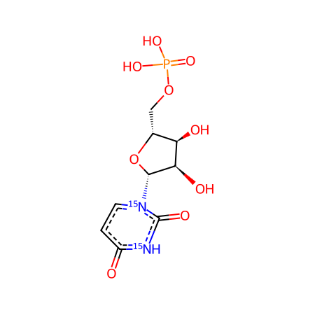 O=c1cc[15n]([C@@H]2O[C@H](COP(=O)(O)O)[C@@H](O)[C@H]2O)c(=O)[15nH]1